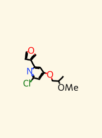 COC(C)COc1cc(Cl)nc(-c2ccoc2)c1